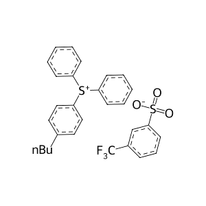 CCCCc1ccc([S+](c2ccccc2)c2ccccc2)cc1.O=S(=O)([O-])c1cccc(C(F)(F)F)c1